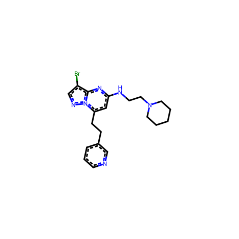 Brc1cnn2c(CCc3cccnc3)cc(NCCN3CCCCC3)nc12